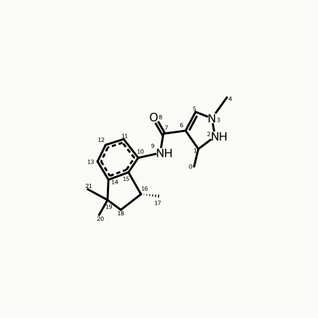 CC1NN(C)C=C1C(=O)Nc1cccc2c1[C@H](C)CC2(C)C